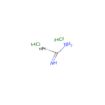 Cl.Cl.[CH2]CCC(=N)N